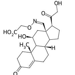 C[C@]12CCC(=O)C=C1CC[C@@H]1C2[C@@H](O)C[C@@]2(/C=N\OCC(=O)O)C1CC[C@@H]2C(=O)CO